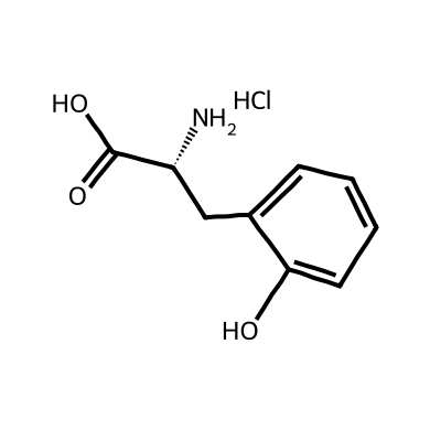 Cl.N[C@H](Cc1ccccc1O)C(=O)O